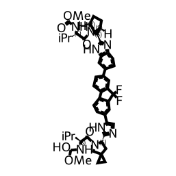 COC(=O)N[C@H](C(=O)N1[C@@H]2CC[C@@H](C2)[C@H]1c1nc2ccc(-c3ccc4c(c3)C(F)(F)c3cc(-c5cnc([C@@H]6CC7(CC7)CN6C(=O)[C@@H](NC(O)OC)C(C)C)[nH]5)ccc3-4)cc2[nH]1)C(C)C